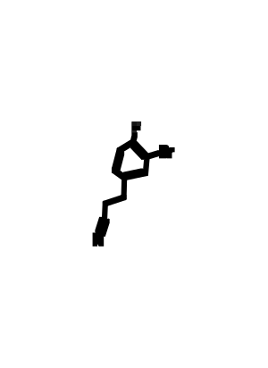 N#CCCc1ccc(F)c(Br)c1